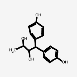 CC(O)C(O)C(c1ccc(O)cc1)c1ccc(O)cc1